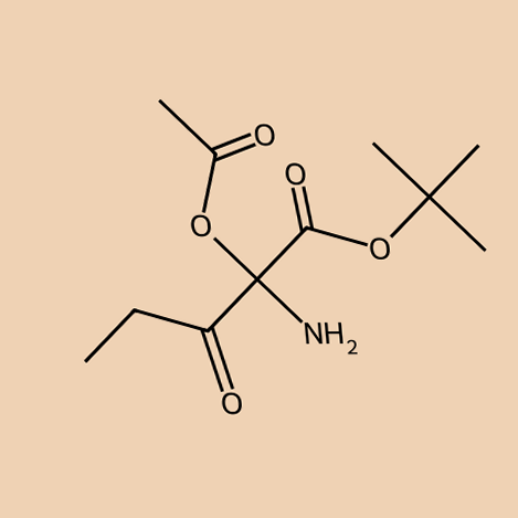 CCC(=O)C(N)(OC(C)=O)C(=O)OC(C)(C)C